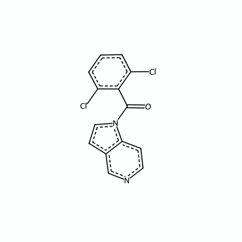 O=C(c1c(Cl)cccc1Cl)n1ccc2cnccc21